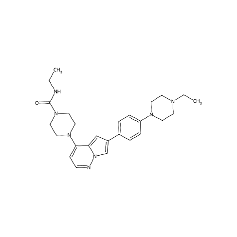 CCNC(=O)N1CCN(c2ccnn3cc(-c4ccc(N5CCN(CC)CC5)cc4)cc23)CC1